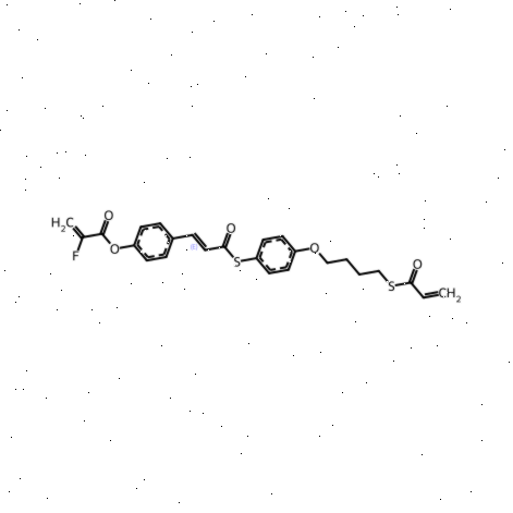 C=CC(=O)SCCCCOc1ccc(SC(=O)/C=C/c2ccc(OC(=O)C(=C)F)cc2)cc1